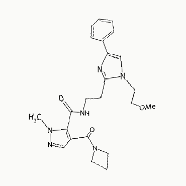 COCCn1cc(-c2ccccc2)nc1CCNC(=O)c1c(C(=O)N2CCC2)cnn1C